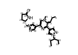 CC/C=C1/C(c2cnn(C(CC)CC)c2)=NC(c2cnn(C[C@@H]3CCC(=O)N3)c2)=CN1C